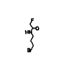 O=C(CF)NCCCBr